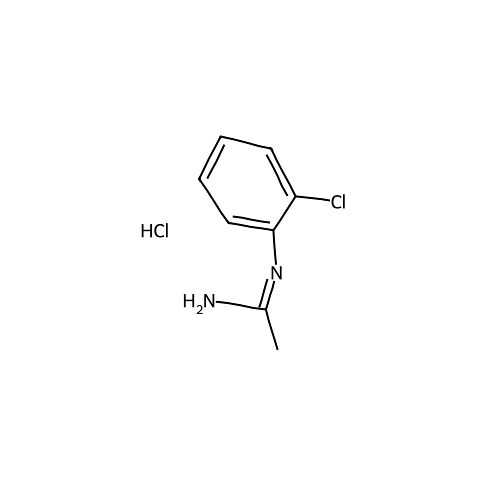 CC(N)=Nc1ccccc1Cl.Cl